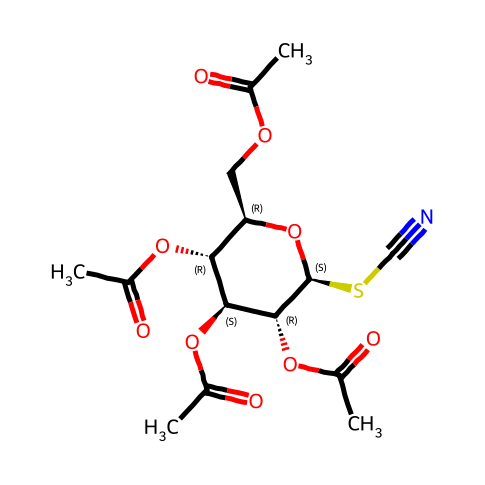 CC(=O)OC[C@H]1O[C@@H](SC#N)[C@H](OC(C)=O)[C@@H](OC(C)=O)[C@@H]1OC(C)=O